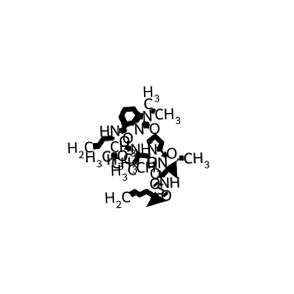 C=CCCNC(=O)C1=CCCc2c1nc(O[C@@H]1C[C@@H](C(=O)N[C@]3(C(=O)NS(=O)(=O)C4(CCC=C)CC4)C[C@H]3CC)N(C(=O)[C@@H](NC(=O)OC(C)(C)C)C(C)(C)C)C1)n2C(C)C